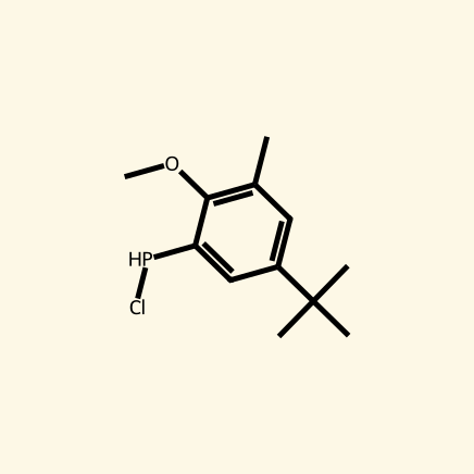 COc1c(C)cc(C(C)(C)C)cc1PCl